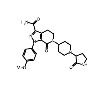 COc1ccc(-n2nc(C(N)=O)c3c2C(=O)N(C2CCN(C4CCNC4=O)CC2)CC3)cc1